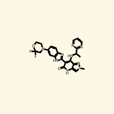 CC(Nc1c(-c2nc3ccc(N4CCOC(F)(F)C4)cc3[nH]2)c(=O)[nH]c2cn(C)nc12)c1ncccn1